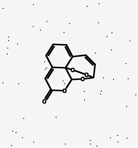 O=C1C=C2C=CC=C3C=CC4OOC32C(O1)O4